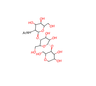 CC(=O)NC1C(O)[C@@H](O)C(CO)O[C@H]1O[C@H]1C(CO)O[C@@H](O[C@@H]2C(CO)OCC(O)C2O)C(O)C1O